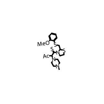 COc1ccccc1SCC1SCCN1C(=S)C(C(C)=O)N1CCN(C)CC1